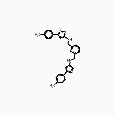 CC1=CC=C(c2cc(NCc3cccc(CNc4cc(-c5ccc(C)cc5)[nH]n4)n3)n[nH]2)CC1